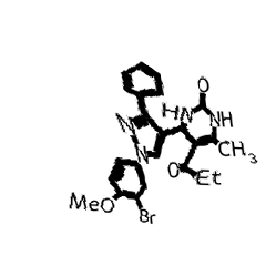 CCC(=O)C1=C(C)NC(=O)NC1c1cn(-c2ccc(OC)c(Br)c2)nc1-c1ccccc1